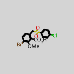 COc1c(Br)ccc(CS(=O)(=O)c2ccc(Cl)cc2)c1C(=O)O